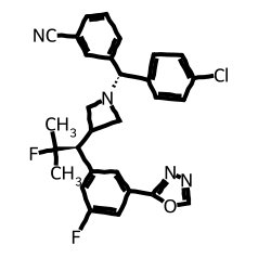 CC(C)(F)[C@H](c1cc(F)cc(-c2nnco2)c1)C1CN([C@@H](c2ccc(Cl)cc2)c2cccc(C#N)c2)C1